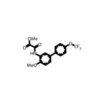 COC(=O)C(=O)Nc1cc(-c2ccc(OC(F)(F)F)cc2)ccc1OC